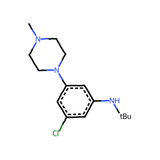 CN1CCN(c2cc(Cl)cc(NC(C)(C)C)c2)CC1